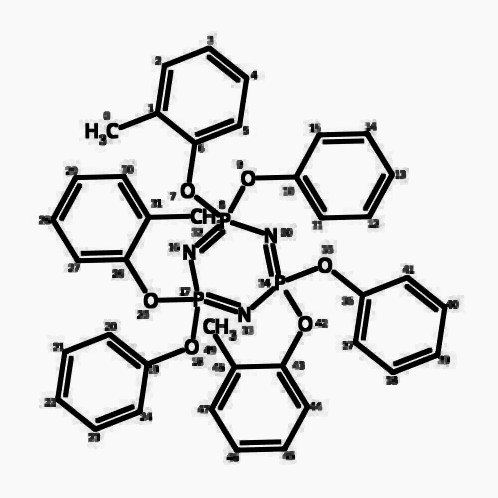 Cc1ccccc1OP1(Oc2ccccc2)=NP(Oc2ccccc2)(Oc2ccccc2C)=NP(Oc2ccccc2)(Oc2ccccc2C)=N1